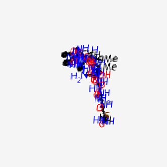 CSCC[C@H](NC(=O)[C@H](C)NC(=O)[C@H](Cc1c[nH]c2ccccc12)NC(=O)[C@H](C)NC(=O)[C@H](Cc1c[nH]cn1)NC(=O)[C@H](Cc1c[nH]c2ccccc12)NC(=O)[C@@H](N)Cc1ccccc1)C(=O)N[C@@H](CCSC)C(=O)N[C@@H](Cc1ccc(O)cc1)C(=O)N[C@@H](CCCCN)C(=O)NCC(=O)NCC(=O)NCC(=O)N[C@@H](CCCCNC(=O)CCCC[C@@H]1SC[C@@H]2NC(=O)N[C@@H]21)C(N)=O